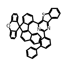 c1ccc(-c2cccc(-c3nc(-c4cccc5c4-c4c(ccc6ccccc46)C54c5ccccc5Oc5ccccc54)c4sc5ccccc5c4n3)c2)cc1